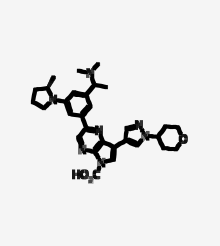 CC(c1cc(-c2cnc3c(n2)c(-c2cnn(C4CCOCC4)c2)cn3C(=O)O)cc(N2CCC[C@H]2C)c1)N(C)C